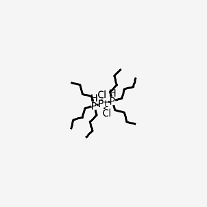 CCCC[PH](CCCC)(CCCC)[Pt]([Cl])([Cl])[PH](CCCC)(CCCC)CCCC